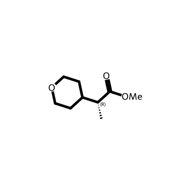 COC(=O)[C@H](C)C1CCOCC1